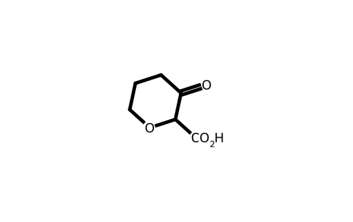 O=C(O)C1OCCCC1=O